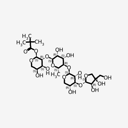 C[C@@H]1O[C@@H](O[C@H]2[C@H](OC(=O)C(C)(C)C)OC[C@H](O)[C@@H]2O)[C@H](O)[C@H](O)[C@H]1O[C@@H]1OC[C@@H](O)[C@H](O[C@@H]2OC[C@](O)(CO)[C@H]2O)[C@H]1O